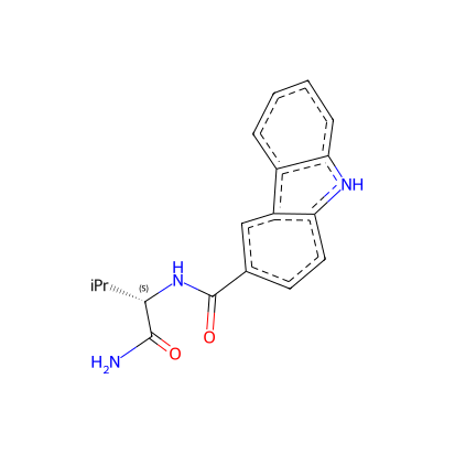 CC(C)[C@H](NC(=O)c1ccc2[nH]c3ccccc3c2c1)C(N)=O